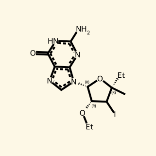 CCO[C@H]1C(I)[C@@](C)(CC)O[C@H]1n1cnc2c(=O)[nH]c(N)nc21